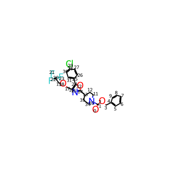 O=C(OCc1ccccc1)N1CCC(c2nc(COCC(F)(F)F)c(-c3ccc(Cl)cc3)o2)CC1